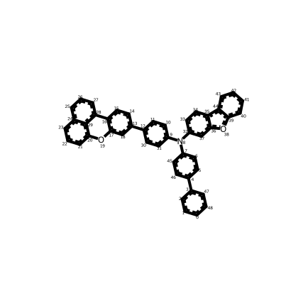 c1ccc(-c2ccc(N(c3ccc(-c4ccc5c(c4)Oc4cccc6cccc-5c46)cc3)c3ccc4c(c3)oc3ccccc34)cc2)cc1